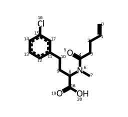 C=CCCC(=O)N(C)C(CCc1cccc(Cl)c1)C(=O)O